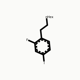 CCCCCCCCc1ccc(I)cc1F